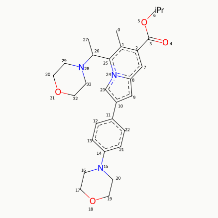 Cc1c(C(=O)OC(C)C)cc2cc(-c3ccc(N4CCOCC4)cc3)cn2c1C(C)N1CCOCC1